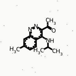 CC(=O)c1nnc2cc(C)ccc2c1NC(C)C